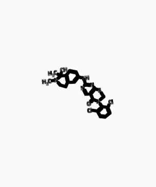 CN1CCc2cc(Nc3ncc4c(n3)SCN(c3c(Cl)cccc3Cl)C4=O)ccc2C1(C)C